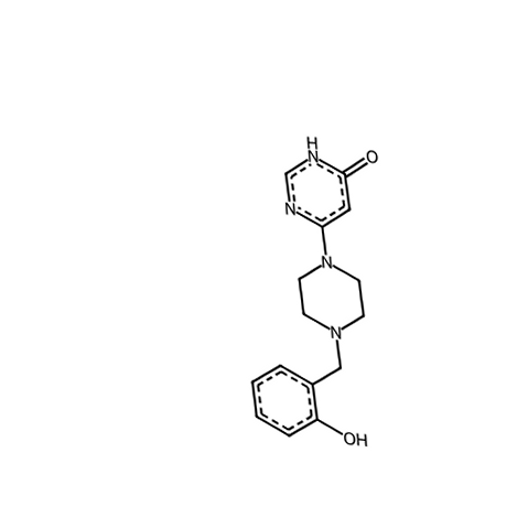 O=c1cc(N2CCN(Cc3ccccc3O)CC2)nc[nH]1